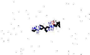 CCC1(CC(=O)NNc2cc(-c3ccnc(Nc4ccnn4C)c3)ccn2)CC1